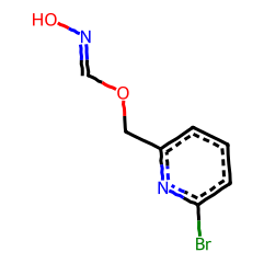 ON=COCc1cccc(Br)n1